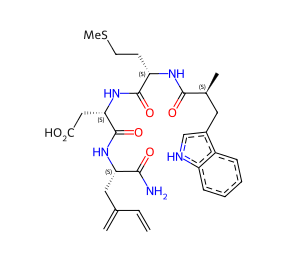 C=CC(=C)C[C@H](NC(=O)[C@H](CC(=O)O)NC(=O)[C@H](CCSC)NC(=O)[C@@H](C)Cc1c[nH]c2ccccc12)C(N)=O